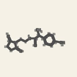 CC(C(=O)OCCN1C(=O)CCC1=O)c1ccc(O)cc1